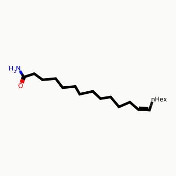 CCCCCC/C=C\CCCCCCCCCCCC(N)=O